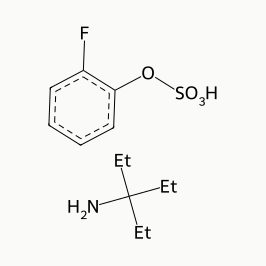 CCC(N)(CC)CC.O=S(=O)(O)Oc1ccccc1F